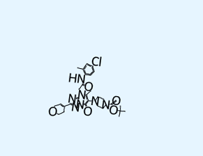 Cc1cc(Cl)ccc1NC(=O)Cn1c(C)c(N2CCN(C(=O)OC(C)(C)C)CC2)c(=O)n2nc(C3=CCOCC3)nc12